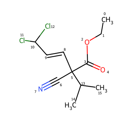 CCOC(=O)C(C#N)(C=CC(Cl)Cl)C(C)C